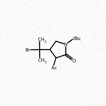 CC(=O)C1C(=O)N(C(C)(C)C)CC1C(C)(C)Br